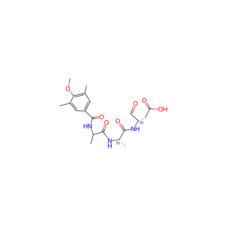 COc1c(C)cc(C(=O)NC(C)C(=O)N[C@@H](C)C(=O)N[C@H](C=O)CC(=O)O)cc1C